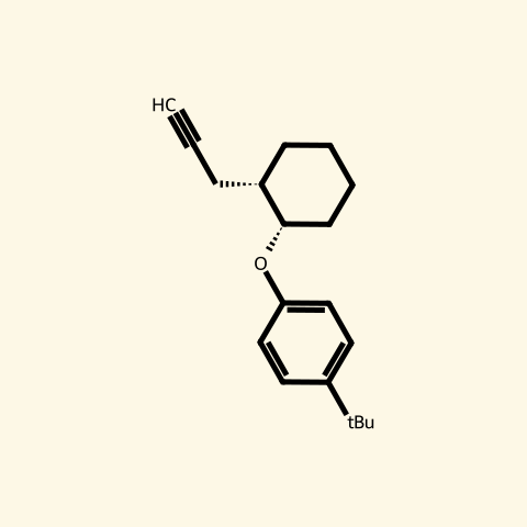 C#CC[C@@H]1CCCC[C@@H]1Oc1ccc(C(C)(C)C)cc1